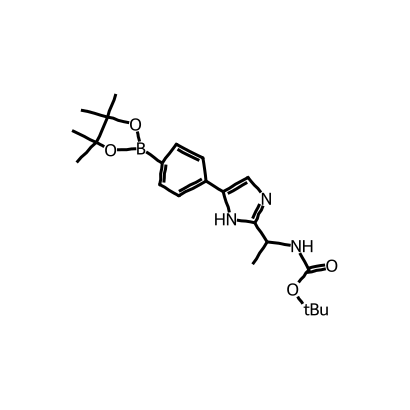 CC(NC(=O)OC(C)(C)C)c1ncc(-c2ccc(B3OC(C)(C)C(C)(C)O3)cc2)[nH]1